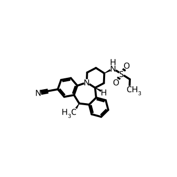 CCS(=O)(=O)N[C@@H]1CCN2c3ccc(C#N)cc3[C@H](C)c3ccccc3[C@H]2C1